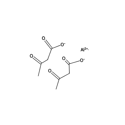 CC(=O)CC(=O)[O-].CC(=O)CC(=O)[O-].[Al+2]